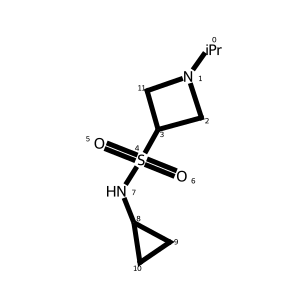 CC(C)N1CC(S(=O)(=O)NC2CC2)C1